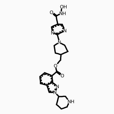 O=C(NO)c1cnc(N2CCC(COC(=O)c3cccc4cn(C5CCCNC5)nc34)CC2)nc1